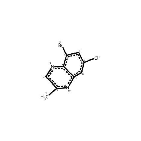 Cc1cnc2c(Br)cc(Cl)cc2n1